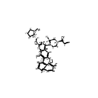 C=CC(=O)N1CCN(c2nc(OC[C@@H]3CCCN3C)nc3c(F)c(-c4cccc5ccc(F)c(Cl)c45)c(F)cc23)[C@@H](C)C1